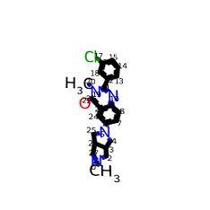 CN1CC2CN(c3ccc4nc(-c5cccc(Cl)c5)n(C)c(=O)c4c3)CC2C1